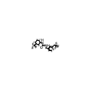 O=C(NCc1ccnc(CC(F)(F)F)c1)NC1CCCC(C(F)(F)F)C1